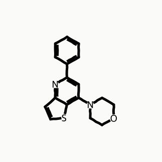 c1ccc(-c2cc(N3CCOCC3)c3sccc3n2)cc1